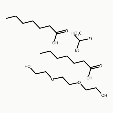 CCC(CC)C(=O)O.CCCCCCC(=O)O.CCCCCCC(=O)O.OCCOCCOCCO